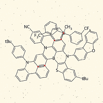 CC(C)(C)c1ccc(N(c2ccc3c(c2)N(c2ccc(C#N)cc2-c2ccccc2)c2cc([Si](C)(c4cccc(C(F)(F)F)c4)c4cccc(C(F)(F)F)c4)cc4c2B3c2sc3ccc(C(C)(C)C)cc3c2N4c2ccc3oc4ccccc4c3c2)c2ccccc2-c2ccccc2)cc1